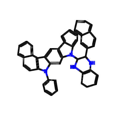 C1=CC2=C(CC1)NC(n1c3ccccc3c3cc4c5c6ccccc6ccc5n(-c5ccccc5)c4cc31)C(c1ccc3ccccc3c1)N2